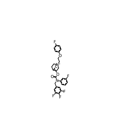 O=C(OC1C[N+]2(CCOc3ccc(F)cc3)CCC1CC2)N(Cc1cc(F)c(F)c(F)c1)c1cccc(F)c1